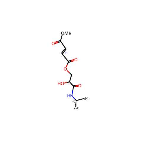 COC(=O)/C=C/C(=O)OCC(O)C(=O)N[C@H](C(C)=O)C(C)C